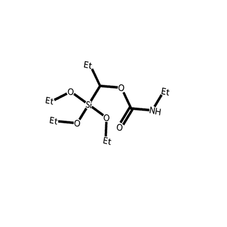 CCNC(=O)OC(CC)[Si](OCC)(OCC)OCC